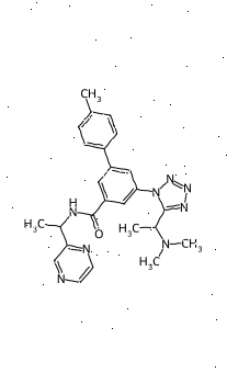 Cc1ccc(-c2cc(C(=O)NC(C)c3cnccn3)cc(-n3nnnc3C(C)N(C)C)c2)cc1